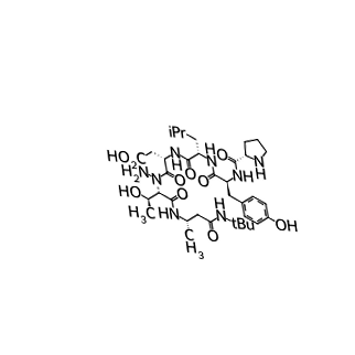 CC(C)C[C@H](NC(=O)[C@H](Cc1ccc(O)cc1)NC(=O)[C@@H]1CCCN1)C(=O)N[C@@H](CC(=O)O)C(=O)N(N)[C@H](C(=O)N[C@@H](C)CC(=O)NC(C)(C)C)[C@@H](C)O